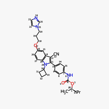 CC(C)[C@@H](C)OC(=O)Nc1ccc(-c2c(C#N)c3cc(OCCCn4ccnc4)ccc3n2C2CCC2)cc1